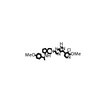 COc1ccc(C(C)N[C@@H]2CCCC23CCN(c2cnc4c(-c5ccnc(OC)c5Cl)n[nH]c4n2)CC3)cc1